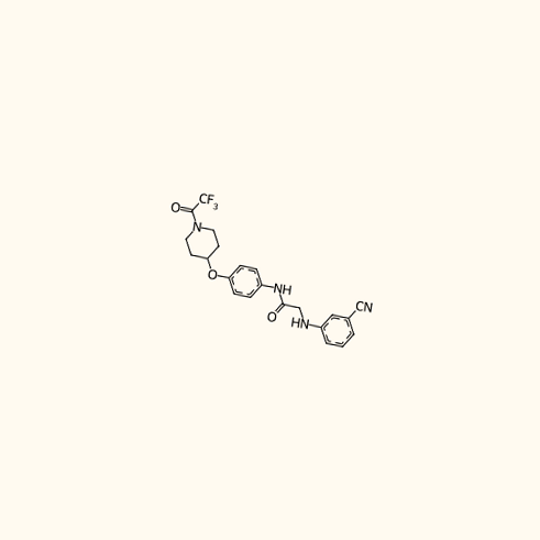 N#Cc1cccc(NCC(=O)Nc2ccc(OC3CCN(C(=O)C(F)(F)F)CC3)cc2)c1